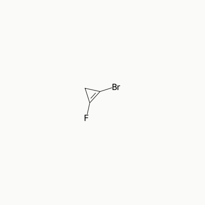 FC1=C(Br)C1